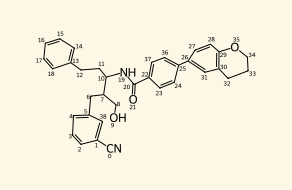 N#Cc1cccc(CC(CO)C(CCc2ccccc2)NC(=O)c2ccc(-c3ccc4c(c3)CCCO4)cc2)c1